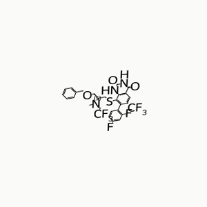 CN(CC(F)(F)F)[C@@H](COCc1ccccc1)CSc1c(-c2ccc(F)cc2F)c(C(F)(F)F)cc2c(=O)[nH]c(=O)[nH]c12